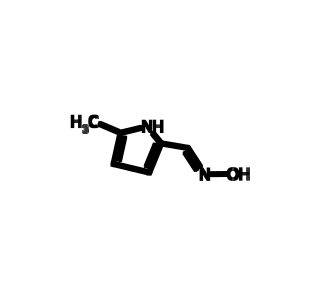 Cc1ccc(/C=N/O)[nH]1